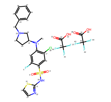 CN(c1cc(F)c(S(=O)(=O)Nc2nccs2)cc1Cl)[C@H]1CCN(Cc2ccccc2)C1.O=C(O)C(F)(F)F.O=C(O)C(F)(F)F